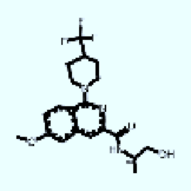 COc1ccc2c(N3CCC(C(F)(F)F)CC3)nc(C(=O)N[C@H](C)CO)cc2c1